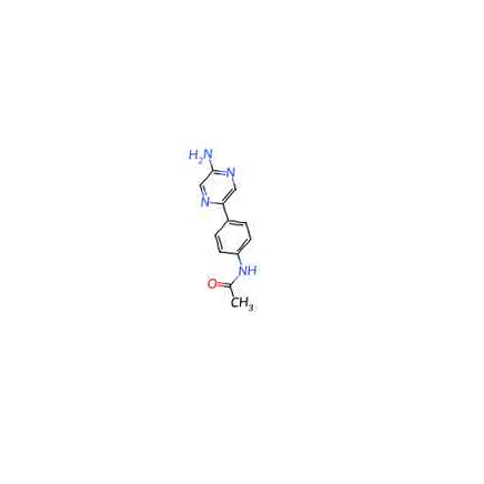 CC(=O)Nc1ccc(-c2cnc(N)cn2)cc1